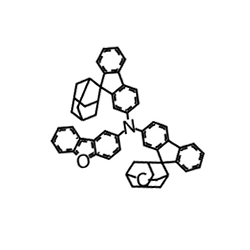 c1ccc2c(c1)-c1ccc(N(c3ccc4c(c3)C3(c5ccccc5-4)C4CC5CC(C4)CC3C5)c3ccc4oc5ccccc5c4c3)cc1C21C2CCC3CC(C2)CC1C3